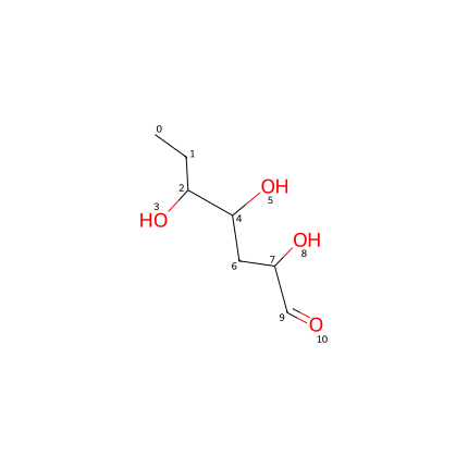 CCC(O)C(O)CC(O)C=O